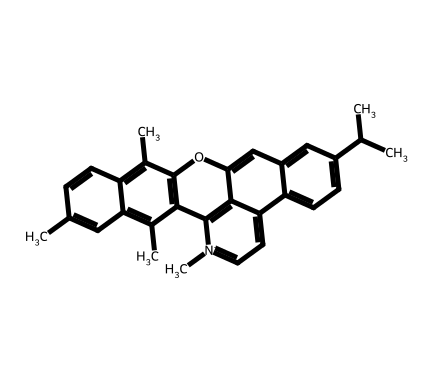 Cc1ccc2c(C)c3c(c(C)c2c1)-c1c2c(cc4cc(C(C)C)ccc4c2cc[n+]1C)O3